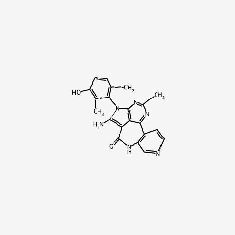 Cc1nc2c3c(c(N)n(-c4c(C)ccc(O)c4C)c3n1)C(=O)Nc1cnccc1-2